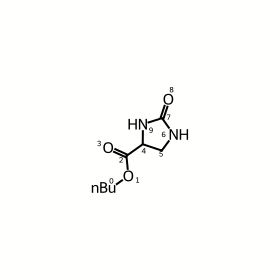 CCCCOC(=O)C1CNC(=O)N1